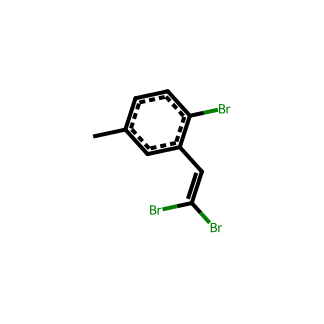 Cc1ccc(Br)c(C=C(Br)Br)c1